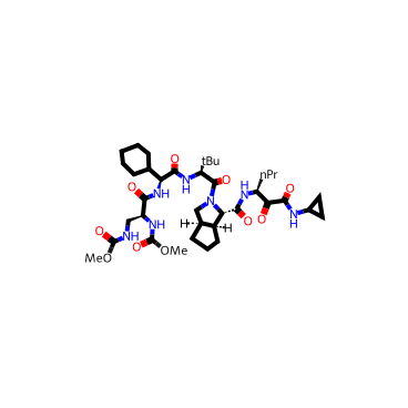 CCC[C@H](NC(=O)[C@@H]1[C@H]2CCC[C@H]2CN1C(=O)[C@@H](NC(=O)[C@@H](NC(=O)[C@H](CNC(=O)OC)NC(=O)OC)C1CCCCC1)C(C)(C)C)C(=O)C(=O)NC1CC1